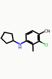 Cc1c(NC2CCCC2)ccc(C#N)c1Cl